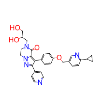 O=C1c2c(-c3ccc(OCc4ccc(C5CC5)nc4)cc3)c(-c3ccncc3)nn2CCN1CC(O)CO